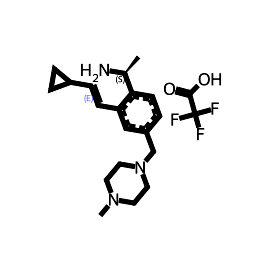 C[C@H](N)c1ccc(CN2CCN(C)CC2)cc1/C=C/C1CC1.O=C(O)C(F)(F)F